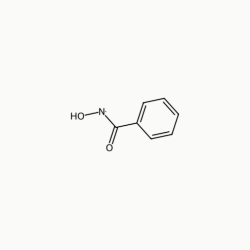 O=C([N]O)c1ccccc1